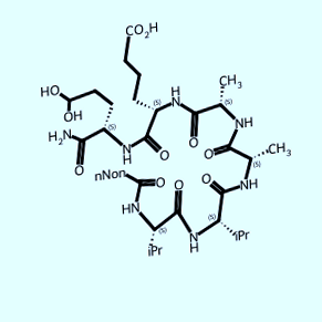 CCCCCCCCCC(=O)N[C@H](C(=O)N[C@H](C(=O)N[C@@H](C)C(=O)N[C@@H](C)C(=O)N[C@@H](CCCC(=O)O)C(=O)N[C@@H](CCC(O)O)C(N)=O)C(C)C)C(C)C